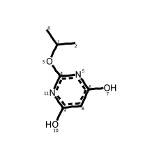 CC(C)Oc1nc(O)cc(O)n1